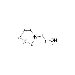 O[CH]CN1CCCCC1